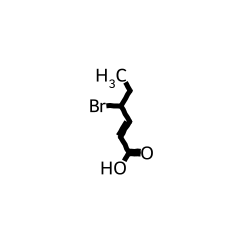 CCC(Br)C=CC(=O)O